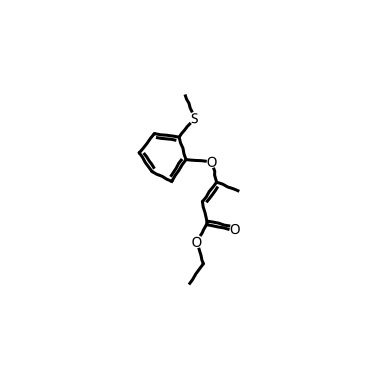 CCOC(=O)C=C(C)Oc1ccccc1SC